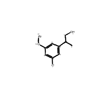 C[C](CO)c1cc(Cl)cc(OC(C)C)c1